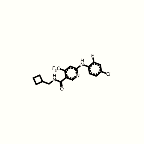 O=C(NCC1CCC1)c1cnc(Nc2ccc(Cl)cc2F)cc1C(F)(F)F